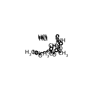 COc1cc(C(=O)N(C)c2ccc(C)cc2OCCCCCC(=O)N2CCN(C)CC2)ccc1C(=O)Nc1cccc2[nH]c(CN3CCCC3)nc12.Cl.Cl.Cl